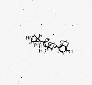 Cc1cc(Cl)ccc1OCC(C)(C)NC(=O)C1[C@H]2CNC[C@@H]12